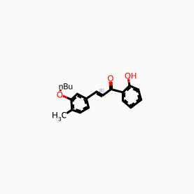 CCCCOc1cc(/C=C/C(=O)c2ccccc2O)ccc1C